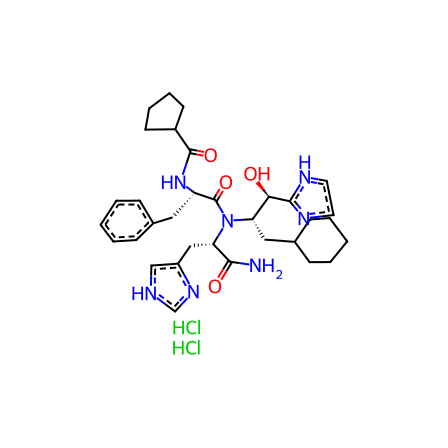 Cl.Cl.NC(=O)[C@H](Cc1c[nH]cn1)N(C(=O)[C@H](Cc1ccccc1)NC(=O)C1CCCC1)[C@@H](CC1CCCCC1)[C@@H](O)c1ncc[nH]1